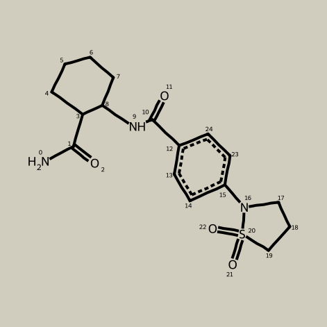 NC(=O)C1CCCCC1NC(=O)c1ccc(N2CCCS2(=O)=O)cc1